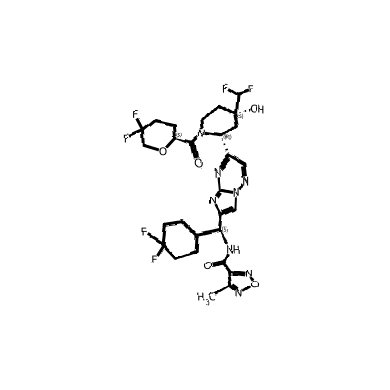 Cc1nonc1C(=O)N[C@H](c1cn2ncc([C@H]3C[C@](O)(C(F)F)CCN3C(=O)[C@@H]3CCC(F)(F)CO3)nc2n1)C1CCC(F)(F)CC1